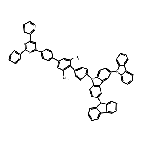 Cc1cc(-c2ccc(-c3cc(-c4ccccc4)nc(-c4ccccc4)n3)cc2)cc(C)c1-c1ccc(-n2c3ccc(-n4c5ccccc5c5ccccc54)cc3c3cc(-n4c5ccccc5c5ccccc54)ccc32)cc1